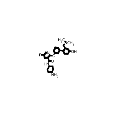 CN(C)Cc1cc(O)ccc1-c1cccc(Oc2ncc(F)cc2C(=O)NC2CCC(N)CC2)c1